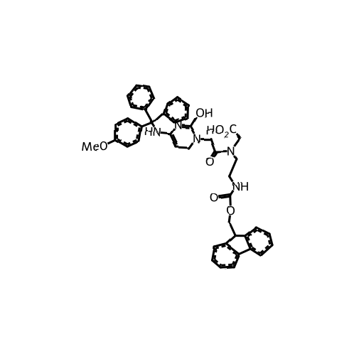 COc1ccc(C(NC2=CCN(CC(=O)N(CCNC(=O)OCC3c4ccccc4-c4ccccc43)CC(=O)O)C(O)=N2)(c2ccccc2)c2ccccc2)cc1